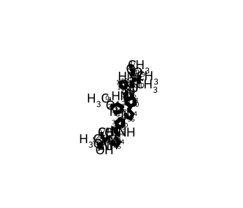 CCOc1ccc(N2C(c3ccc4nc([C@@H]5CCCN5C(=O)[C@@H](NC(=O)OC)C(C)C)[nH]c4c3)CC[C@@H]2c2ccc3nc([C@@H]4CCCN4C(=O)[C@@H](NC(=O)O)C(C)C)[nH]c3c2)cn1